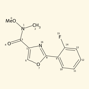 CON(C)C(=O)c1coc(-c2ccccc2F)n1